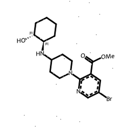 COC(=O)c1cc(Br)cnc1N1CCC(N[C@@H]2CCCC[C@H]2O)CC1